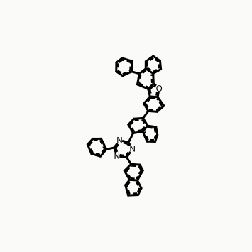 c1ccc(-c2nc(-c3ccc4ccccc4c3)nc(-c3ccc(-c4ccc5oc6c7ccccc7c(-c7ccccc7)cc6c5c4)c4ccccc34)n2)cc1